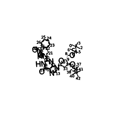 CC(C)(C)[Si](C)(C)OC[C@H]1O[C@@H](n2cnc3c(=O)[nH]c(NCc4ccccc4[N+](=O)[O-])nc32)C[C@H]1O[Si](C)(C)C(C)(C)C